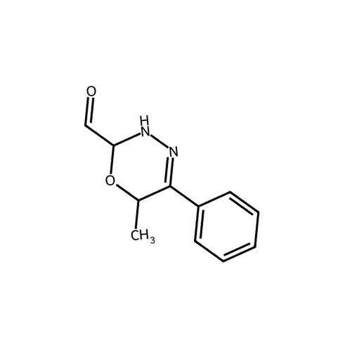 CC1OC(C=O)NN=C1c1ccccc1